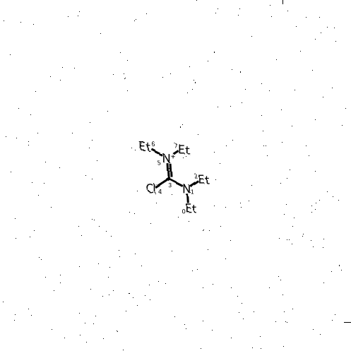 CCN(CC)C(Cl)=[N+](CC)CC